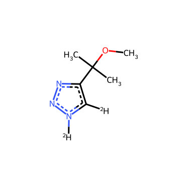 [2H]c1c(C(C)(C)OC)nnn1[2H]